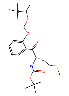 CSCC[C@H](NC(=O)OC(C)(C)C)C(=O)c1ccccc1OCOC(C)[Si](C)(C)C